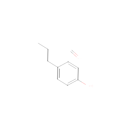 C=O.CCCc1ccc(O)cc1